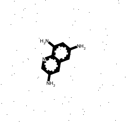 Nc1cnc2c(N)cc(N)cc2c1